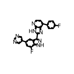 Fc1ccc(-c2ccnc3[nH]c(-c4n[nH]c5c(F)cc(-c6cncnc6)cc45)nc23)cc1